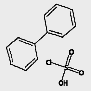 O=S(=O)(O)Cl.c1ccc(-c2ccccc2)cc1